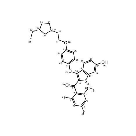 Cc1cc(F)cc(F)c1C(=O)c1sc2cc(O)ccc2c1Oc1ccc(OCCN2CC[C@@H](CF)C2)cc1